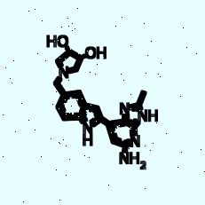 Cc1nc2c(-c3cc4cc(CN5C[C@@H](O)[C@@H](O)C5)ccc4[nH]3)cc(N)nc2[nH]1